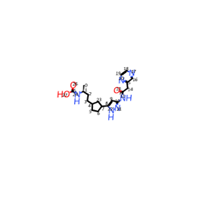 C[C@@H](CCC1CCC(c2cc(NC(=O)Cc3cnccn3)n[nH]2)C1)NC(=O)O